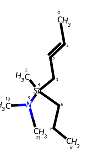 CC=CC[Si](C)(CCC)N(C)C